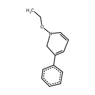 CCON1C=CC=C(c2ccccc2)C1